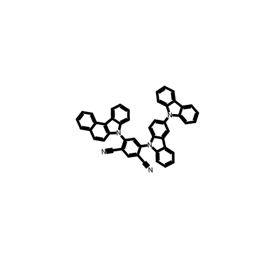 N#Cc1cc(C#N)c(-n2c3ccccc3c3c4ccccc4ccc32)cc1-n1c2ccccc2c2cc(-n3c4ccccc4c4ccccc43)ccc21